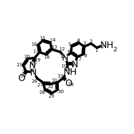 NCCc1ccc2c(c1)nc1n2Cc2cccc(c2)-c2ccc(=O)n(n2)Cc2cccc(c2)C(=O)N1